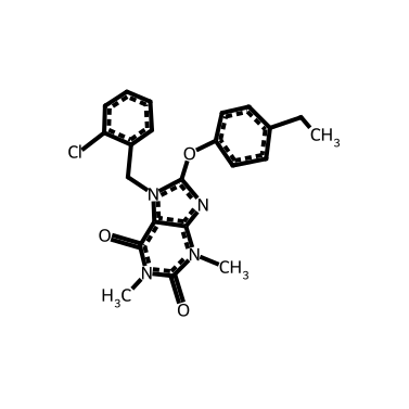 CCc1ccc(Oc2nc3c(c(=O)n(C)c(=O)n3C)n2Cc2ccccc2Cl)cc1